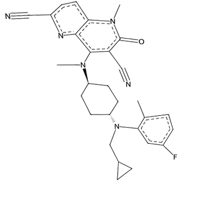 Cc1ccc(F)cc1N(CC1CC1)[C@H]1CC[C@H](N(C)c2c(C#N)c(=O)n(C)c3ccc(C#N)nc23)CC1